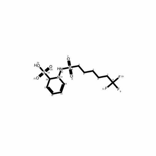 O=S(=O)(CCCCCC(F)(F)F)NN1C=CC=CC1S(=O)(=O)O